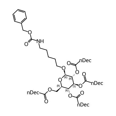 CCCCCCCCCCC(=O)OC[C@H]1O[C@@H](OCCCCCNC(=O)OCc2ccccc2)[C@H](OC(=O)CCCCCCCCCC)[C@@H](OC(=O)CCCCCCCCCC)[C@@H]1OC(=O)CCCCCCCCCC